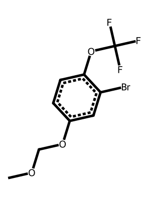 COCOc1ccc(OC(F)(F)F)c(Br)c1